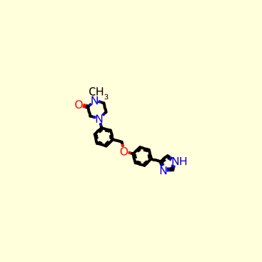 CN1CCN(c2cccc(COc3ccc(-c4c[nH]cn4)cc3)c2)CC1=O